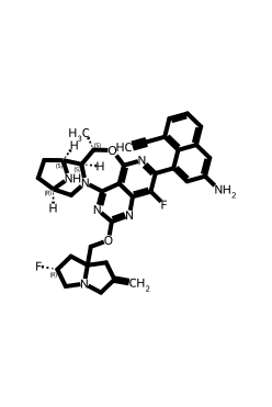 C#Cc1cccc2cc(N)cc(-c3nc4c5c(nc(OCC67CC(=C)CN6C[C@H](F)C7)nc5c3F)N3C[C@H]5CC[C@H](N5)[C@H]3[C@H](C)O4)c12